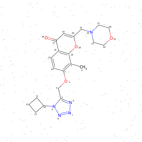 Cc1c(OCc2nnnn2C2CCC2)ccc2c(=O)cc(CN3CCOCC3)oc12